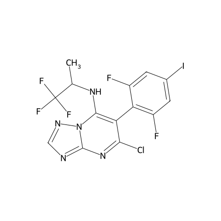 CC(Nc1c(-c2c(F)cc(I)cc2F)c(Cl)nc2ncnn12)C(F)(F)F